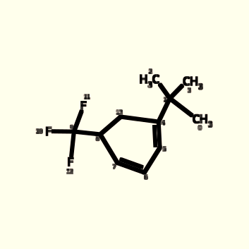 CC(C)(C)C1=CC=C[C](C(F)(F)F)C1